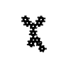 c1ccc(-c2nc3c(ccc4c(-c5ccc(-c6cc(-c7ccc8ccccc8c7)nc(-c7ccc8ccccc8c7)n6)cc5)nc5ccccc5c43)o2)cc1